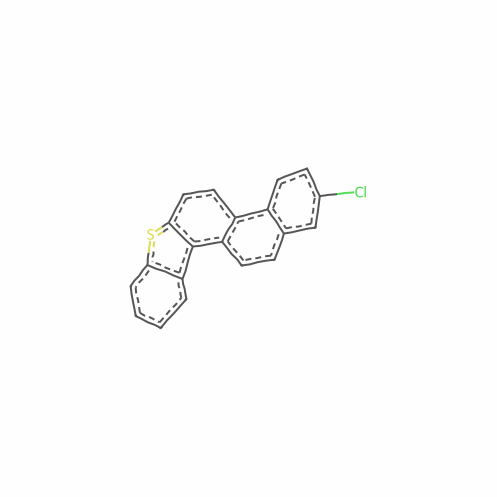 Clc1ccc2c(ccc3c2ccc2sc4ccccc4c23)c1